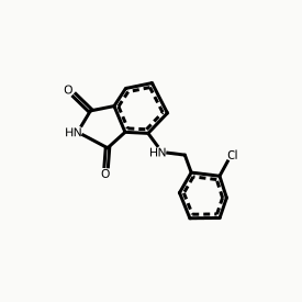 O=C1NC(=O)c2c(NCc3ccccc3Cl)cccc21